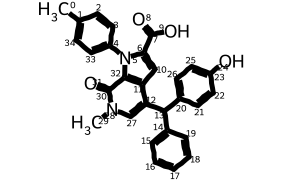 Cc1ccc(-n2c(C(=O)O)cc3c(C(c4ccccc4)c4ccc(O)cc4)cn(C)c(=O)c32)cc1